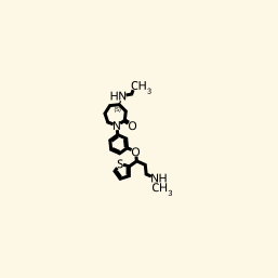 CCN[C@H]1CCCN(c2cccc(OC(CCNC)c3cccs3)c2)C(=O)C1